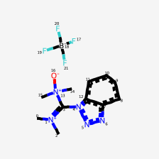 C[N+](C)=C(n1nnc2ccccc21)[N+](C)(C)[O-].F[B-](F)(F)F